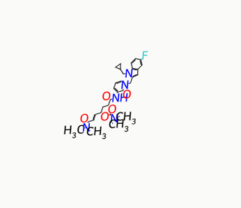 CN(C)C(=O)/C=C/CCC(OC(=O)N(C)C)C(=O)Nc1cccn(Cc2cc3cc(F)ccc3n2CC2CC2)c1=O